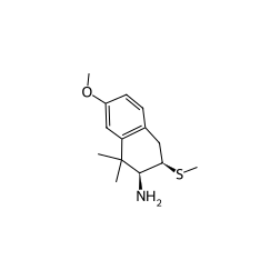 COc1ccc2c(c1)C(C)(C)[C@H](N)[C@H](SC)C2